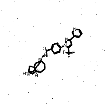 O=C(NC[C@]12CCC[C@H]3C[C@@H](CC3C1)C2)c1ccc(-n2nc(-c3cccnc3)cc2C(F)(F)F)cc1